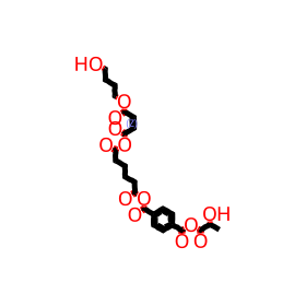 CC(O)C(=O)OC(=O)c1ccc(C(=O)OC(=O)CCCCC(=O)OC(=O)/C=C\C(=O)OCCCCO)cc1